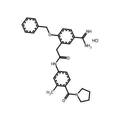 Cc1cc(NC(=O)Cc2cc(C(=N)N)ccc2OCc2ccccc2)ccc1C(=O)N1CCCC1.Cl